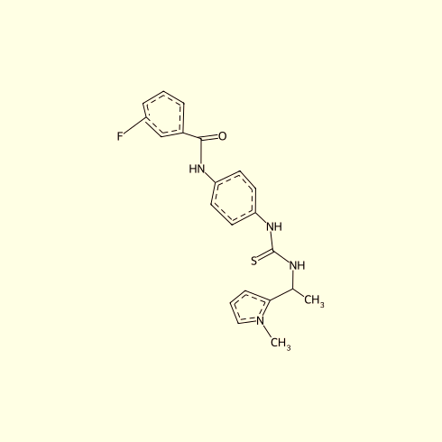 CC(NC(=S)Nc1ccc(NC(=O)c2cccc(F)c2)cc1)c1cccn1C